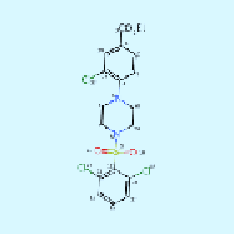 CCOC(=O)c1ccc(N2CCN(S(=O)(=O)c3c(Cl)cccc3Cl)CC2)c(Cl)c1